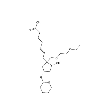 CCOCCOC[C@@]1(CC=CCCCC(=O)O)C[C@@H](OC2CCCCO2)C[C@H]1O